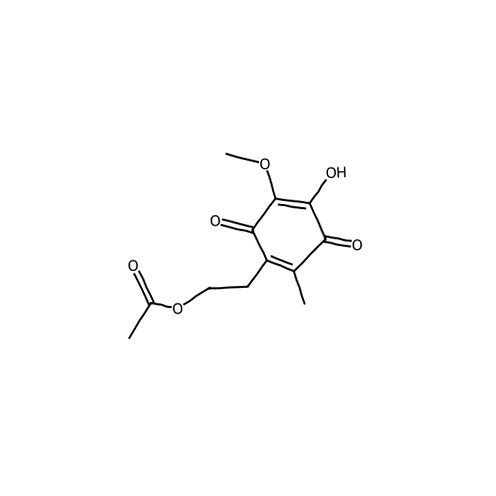 COC1=C(O)C(=O)C(C)=C(CCOC(C)=O)C1=O